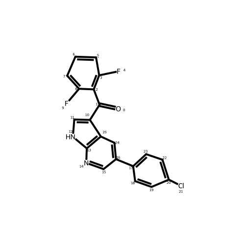 O=C(c1c(F)[c]ccc1F)c1c[nH]c2ncc(-c3ccc(Cl)cc3)cc12